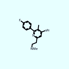 CCCc1cc(CCNC)nc(-c2ccc(F)cc2)c1C